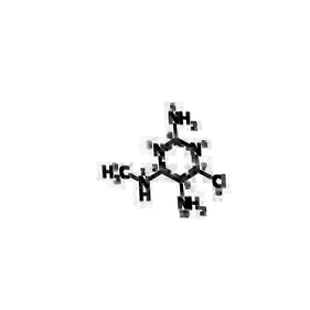 CNc1nc(N)nc(Cl)c1N